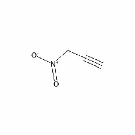 C#C[CH][N+](=O)[O-]